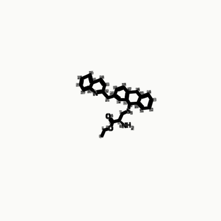 CCOC(=O)[C@@H](N)CSC1c2ccccc2Cc2ccc(Cc3ccc4ccccc4n3)cc21